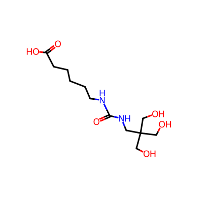 O=C(O)CCCCCNC(=O)NCC(CO)(CO)CO